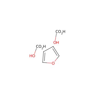 O=C(O)O.O=C(O)O.c1ccoc1